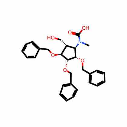 CN(C(=O)O)[C@@H]1[C@@H](CO)[C@H](OCc2ccccc2)[C@@H](OCc2ccccc2)[C@H]1OCc1ccccc1